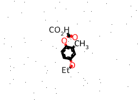 CCOc1ccc(OC(=O)C(=O)O)c(C)c1